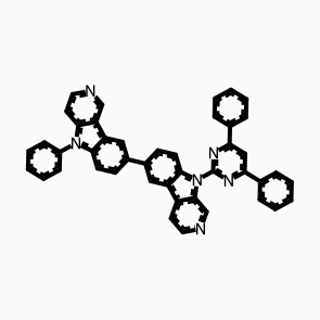 c1ccc(-c2cc(-c3ccccc3)nc(-n3c4ccc(-c5ccc6c(c5)c5cnccc5n6-c5ccccc5)cc4c4ccncc43)n2)cc1